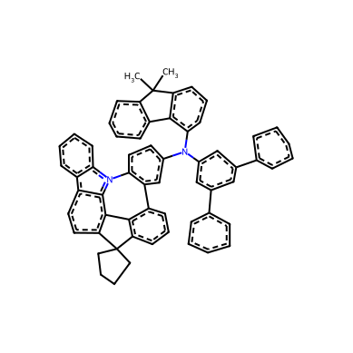 CC1(C)c2ccccc2-c2c(N(c3cc(-c4ccccc4)cc(-c4ccccc4)c3)c3ccc4c(c3)-c3cccc5c3-c3c(ccc6c7ccccc7n-4c36)C53CCCC3)cccc21